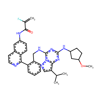 C=C(F)C(=O)Nc1ccc2c(-c3ccccc3CNc3nc(NC4CCC(OC)C4)nc4c(C(C)C)cnn34)nccc2c1